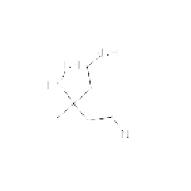 CC(CCN)(CCN)NN